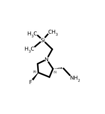 C[Si](C)(C)CN1C[C@H](F)C[C@H]1CN